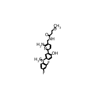 COCCC(=O)NCc1ccc(-c2cc(N(C)c3ccc(F)cc3F)ccc2O)nc1N